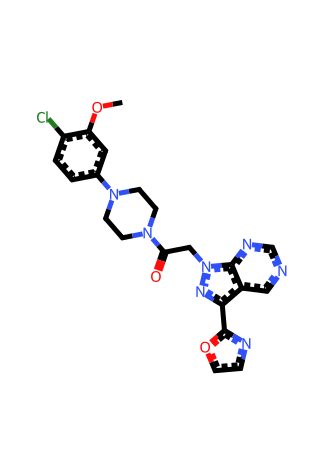 COc1cc(N2CCN(C(=O)Cn3nc(-c4ncco4)c4cncnc43)CC2)ccc1Cl